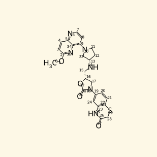 COc1ccc2nccc(N3CC[C@H](NC[C@@H]4CN(c5ccc6c(c5)NC(=O)CS6)C(=O)O4)C3)c2n1